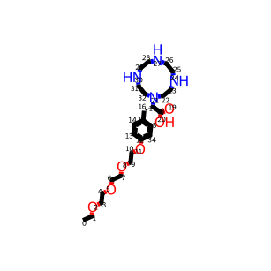 CCOCCOCCOCCOc1ccc(C[C@@H](C(=O)O)N2CCNCCNCCNCC2)cc1